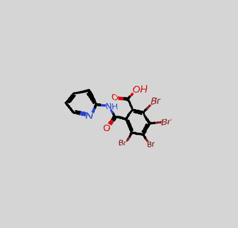 O=C(O)c1c(Br)c(Br)c(Br)c(Br)c1C(=O)Nc1ccccn1